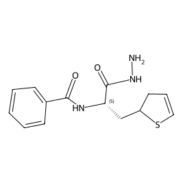 NNC(=O)[C@H](CC1CC=CS1)NC(=O)c1ccccc1